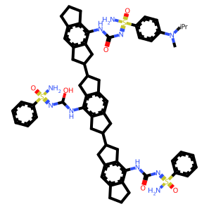 CC(C)N(C)c1ccc(S(N)(=O)=NC(=O)Nc2c3c(cc4c2CC(C2Cc5cc6c(c(NC(O)N=S(N)(=O)c7ccccc7)c5C2)CC(C2Cc5cc7c(c(NC(=O)N=S(N)(=O)c8ccccc8)c5C2)CCC7)C6)C4)CCC3)cc1